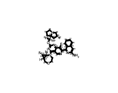 [2H]C([2H])(Oc1nc(N2CCOC[C@H]3[C@H](F)[C@H]32)c2cnc(-c3nc(N)cc4ccccc34)c(F)c2n1)[C@@]12CCCN1C[C@H](F)C2